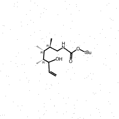 C=CC(O)[C@H](C)[C@H](C)[C@@H](C)CNC(=O)OC(C)(C)C